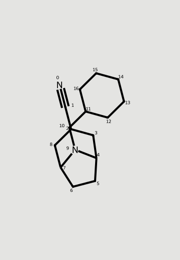 N#CC1CC2CCC(C1)N2CC1CCCCC1